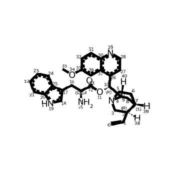 C=C[C@H]1CN2CC[C@H]1C[C@H]2[C@H](OC(=O)[C@@H](N)Cc1c[nH]c2ccccc12)c1ccnc2ccc(OC)cc12